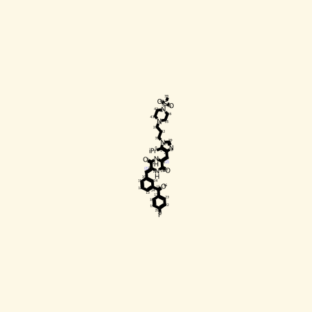 CC(C)c1c(/C=c2\[nH]c(=O)/c(=C/c3cccc(C(=O)c4ccc(F)cc4)c3)[nH]c2=O)ncn1CCCN1CCN(S(C)(=O)=O)CC1